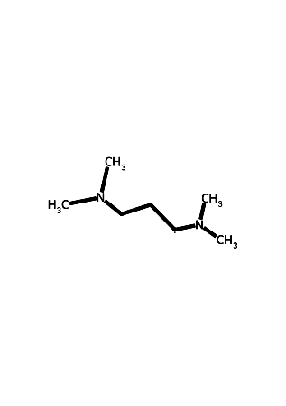 CN(C)[CH]CCN(C)C